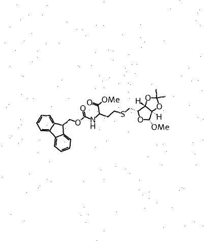 COC(=O)C(CCSC[C@H]1O[C@@H](OC)[C@@H]2OC(C)(C)O[C@H]21)NC(=O)OCC1c2ccccc2-c2ccccc21